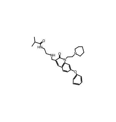 CC(C)C(=O)NCCNCc1cc2ccc(Oc3ccccc3)cc2n(CCN2CCCCC2)c1=O